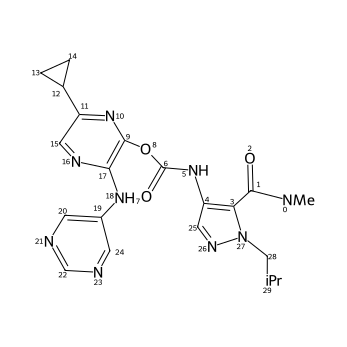 CNC(=O)c1c(NC(=O)Oc2nc(C3CC3)cnc2Nc2cncnc2)cnn1CC(C)C